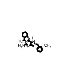 COc1ccccc1Cn1cc2nc(N)nc(NC3CCCCC3CO)c2n1